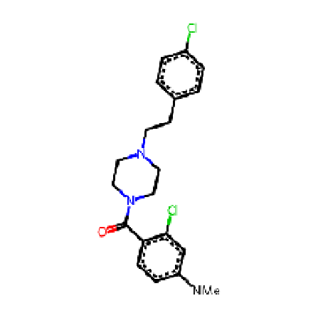 CNc1ccc(C(=O)N2CCN(CCc3ccc(Cl)cc3)CC2)c(Cl)c1